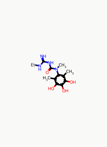 CCNC(=N)NC(=O)N(C)c1c(C)c(O)c(O)c(O)c1C